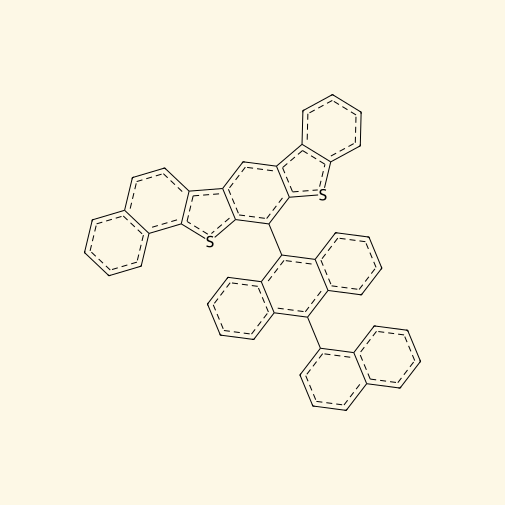 c1ccc2c(-c3c4ccccc4c(-c4c5sc6ccccc6c5cc5c4sc4c6ccccc6ccc54)c4ccccc34)cccc2c1